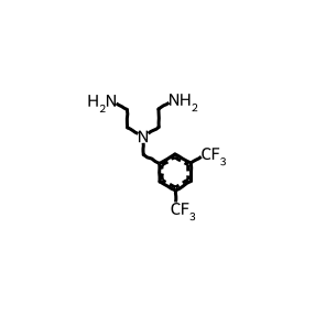 NCCN(CCN)Cc1cc(C(F)(F)F)cc(C(F)(F)F)c1